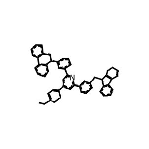 CCC1=CC=C(c2cc(-c3cccc(CC4C5=C(C=CCC5)c5ccccc54)c3)nc(-c3cccc(C4Cc5ccccc5-c5ccccc54)c3)c2)CC1